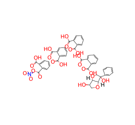 O=C(O)c1ccccc1C(=O)O.O=C(O)c1ccccc1C(=O)O.O=C(O)c1ccccc1C(=O)O.O=C(O)c1ccccc1C(=O)O[N+](=O)[O-].O[C@@H]1CO[C@H]2[C@@H]1OC[C@]2(O)c1ccccc1